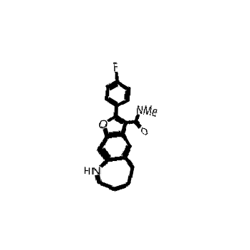 CNC(=O)c1c(-c2ccc(F)cc2)oc2cc3c(cc12)CCCCN3